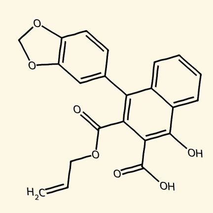 C=CCOC(=O)c1c(C(=O)O)c(O)c2ccccc2c1-c1ccc2c(c1)OCO2